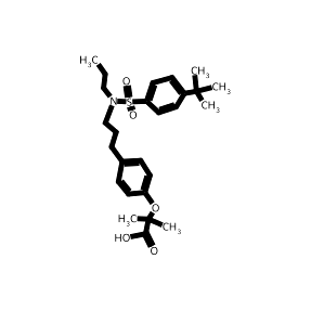 CCCN(CCCc1ccc(OC(C)(C)C(=O)O)cc1)S(=O)(=O)c1ccc(C(C)(C)C)cc1